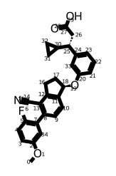 COc1ccc(F)c(-c2ccc3c(c2C#N)CC[C@H]3Oc2cccc([C@@H](CC(=O)O)C3CC3)c2)c1